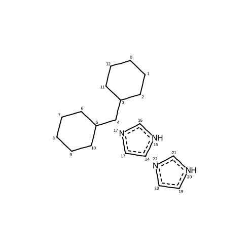 C1CCC(CC2CCCCC2)CC1.c1c[nH]cn1.c1c[nH]cn1